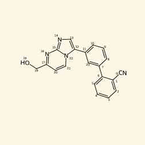 N#Cc1ccccc1-c1cccc(-c2cnc3nc(CO)ccn23)c1